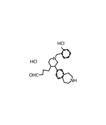 Cc1ccccc1CN1CCC(CCCC=O)C(c2ccc3c(c2)CCNCC3)C1.Cl.Cl